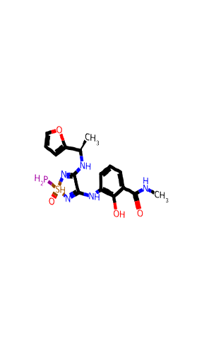 CNC(=O)c1cccc(NC2=N[SH](=O)(P)N=C2N[C@H](C)c2ccco2)c1O